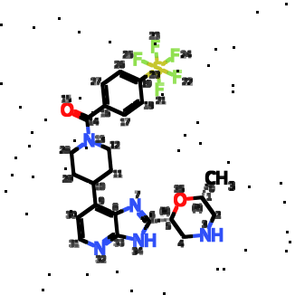 C[C@@H]1CNC[C@H](c2nc3c(C4CCN(C(=O)c5ccc(S(F)(F)(F)(F)F)cc5)CC4)ccnc3[nH]2)O1